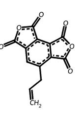 C=CCc1cc2c(=O)oc(=O)c2c2c(=O)oc(=O)c12